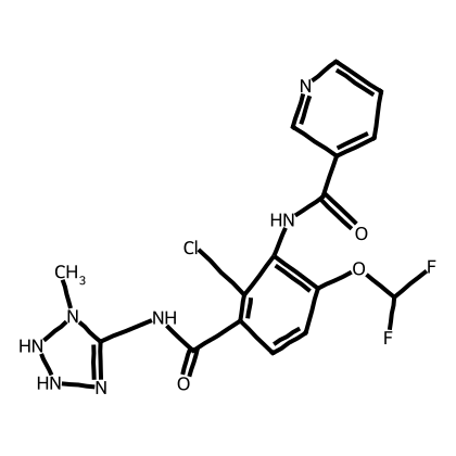 CN1NNN=C1NC(=O)c1ccc(OC(F)F)c(NC(=O)c2cccnc2)c1Cl